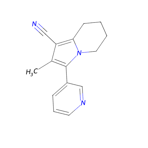 Cc1c(C#N)c2n(c1-c1cccnc1)CCCC2